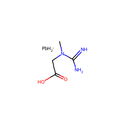 CN(CC(=O)O)C(=N)N.[PbH2]